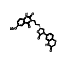 COc1ccc2[nH]c(=O)n(CCC[C@@H]3CN(c4ccc5c(c4)NC(=O)CS5)C(=O)O3)c(=O)c2c1